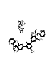 CC=[N+](c1ccccn1)c1c(C(C)C)cc(-c2cc(O)cc(-c3cc(C(C)C)c([N+](=CC)c4ccccn4)c(C(C)C)c3)c2C)cc1C(C)C.[Cl-].[Cl-].[Cl-].[Cl-].[Pd+2].[Pd+2]